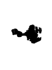 CC(C)(C)OC(=O)CCCCCOP(=O)(OCCCCNC(=O)OC(C)(C)C)c1ccc(C(=O)O)c(C2=c3cc4c5c(c3Oc3c2cc2c6c3CCCN6CCC2)CCC[N+]=5CCC4)c1